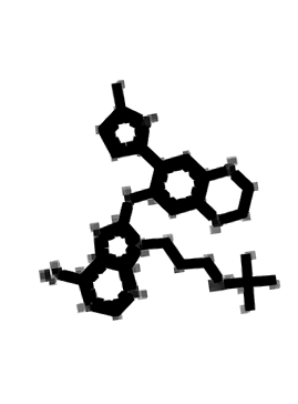 Cc1ccc(-c2cc3c(cc2Sc2nc4c(N)ncnc4n2CCCNC(C)(C)C)OCCO3)o1